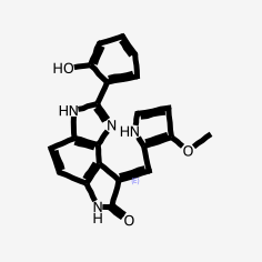 COc1cc[nH]c1/C=C1/C(=O)Nc2ccc3[nH]c(-c4ccccc4O)nc3c21